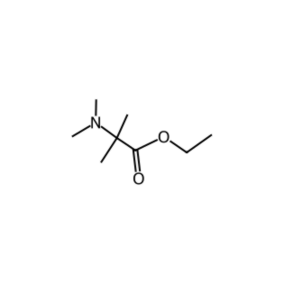 CCOC(=O)C(C)(C)N(C)C